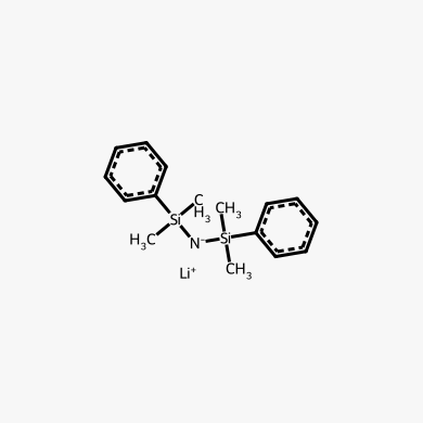 C[Si](C)([N-][Si](C)(C)c1ccccc1)c1ccccc1.[Li+]